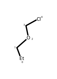 CC[CH]OCCl